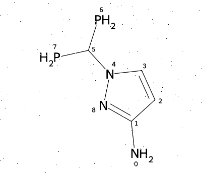 Nc1ccn(C(P)P)n1